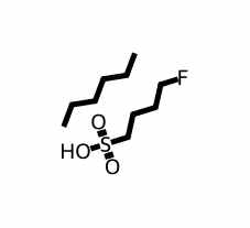 CCCCCC.O=S(=O)(O)CCCCF